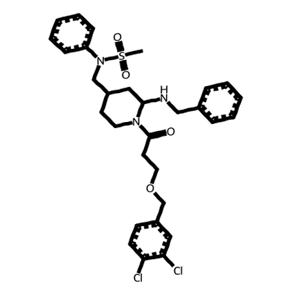 CS(=O)(=O)N(CC1CCN(C(=O)CCOCc2ccc(Cl)c(Cl)c2)C(NCc2ccccc2)C1)c1ccccc1